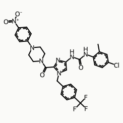 Cc1cc(Cl)ccc1NC(=O)Nc1cn(Cc2ccc(C(F)(F)F)cc2)c(C(=O)N2CCN(c3ccc([N+](=O)[O-])cc3)CC2)n1